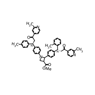 COC(=O)C1CN(c2ccc([C@H](CC(=O)c3ccnc(C)c3)c3ccc(C)cc3)cc2)C1c1ccc([C@@H](CC(=O)c2ccnc(C)c2)c2ccccc2C)cc1